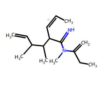 C=CC(C)C(C)C(/C=C\C)C(=N)N(C)C(=C)CC